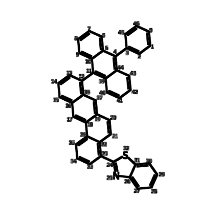 c1ccc(-c2c3ccccc3c(-c3cccc4cc5c(ccc6c(-c7nc8ccccc8s7)cccc65)cc34)c3ccccc23)cc1